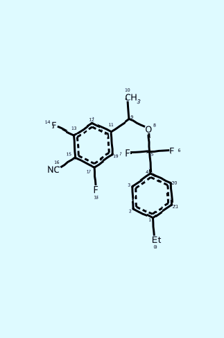 CCc1ccc(C(F)(F)OC(C)c2cc(F)c(C#N)c(F)c2)cc1